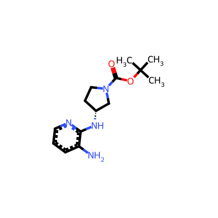 CC(C)(C)OC(=O)N1CC[C@@H](Nc2ncccc2N)C1